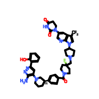 Nc1nnc(-c2ccccc2O)cc1N1CCC[C@H](c2ccc(C(=O)N3CCC(F)(CN4CCC(n5cc(C(F)(F)F)c6cc(N7CCC(=O)NC7=O)cnc65)CC4)CC3)cc2)C1